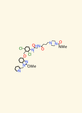 CNC(=O)N1CCN(CCCC(=O)NCC(=O)N(C)c2ccc(Cl)c(COc3cccc4c3nc(OC)n4Cc3ccccn3)c2Cl)CC1